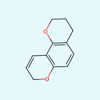 C1=Cc2c(ccc3c2OCCC3)OC1